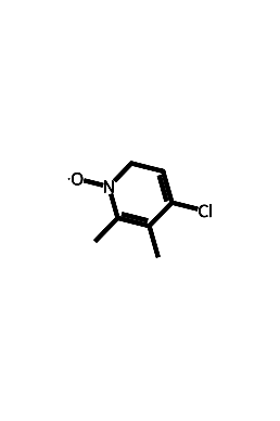 CC1=C(C)N([O])CC=C1Cl